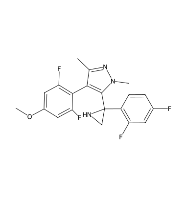 COc1cc(F)c(-c2c(C)nn(C)c2C2(c3ccc(F)cc3F)CN2)c(F)c1